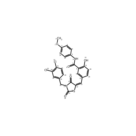 COc1ccc(NC(=O)c2cc(C=C3SC(=O)N(Cc4ccc(Cl)c(Cl)c4)C3=O)ccc2O)cn1